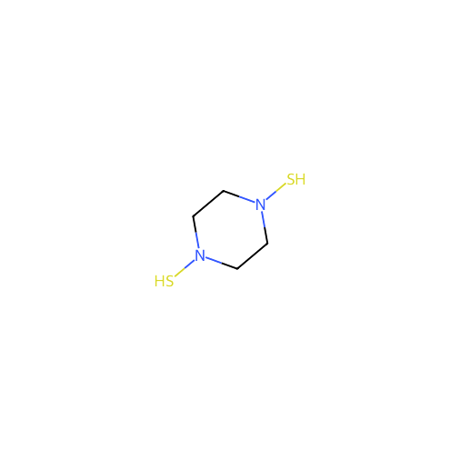 SN1CCN(S)CC1